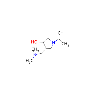 CC(C)N1CC(O)C(CN(C)C)C1